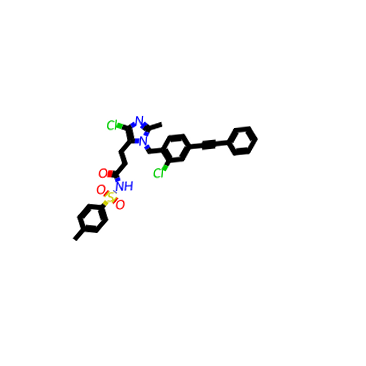 Cc1ccc(S(=O)(=O)NC(=O)CCc2c(Cl)nc(C)n2Cc2ccc(C#Cc3ccccc3)cc2Cl)cc1